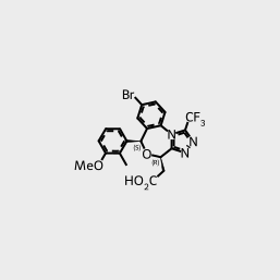 COc1cccc([C@@H]2O[C@H](CC(=O)O)c3nnc(C(F)(F)F)n3-c3ccc(Br)cc32)c1C